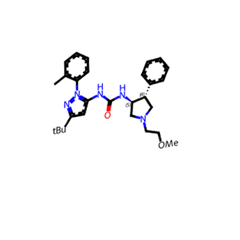 COCCN1C[C@@H](NC(=O)Nc2cc(C(C)(C)C)nn2-c2ccccc2C)[C@H](c2ccccc2)C1